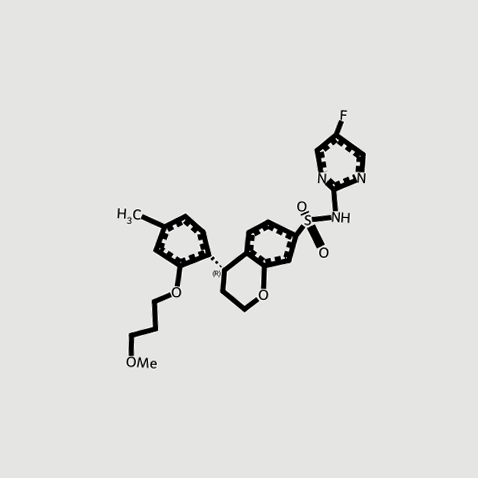 COCCCOc1cc(C)ccc1[C@H]1CCOc2cc(S(=O)(=O)Nc3ncc(F)cn3)ccc21